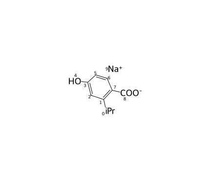 CC(C)c1cc(O)ccc1C(=O)[O-].[Na+]